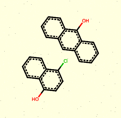 Oc1c2ccccc2cc2ccccc12.Oc1ccc(Cl)c2ccccc12